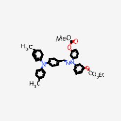 CCOC(=O)Oc1cccc(N(N=Cc2ccc(N(c3ccc(C)cc3)c3ccc(C)cc3)cc2)c2cccc(OC(=O)OC)c2)c1